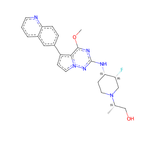 COc1nc(N[C@H]2CCN([C@@H](C)CO)C[C@H]2F)nn2ccc(-c3ccc4ncccc4c3)c12